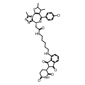 Cc1nnc2n1C1=C(C(c3ccc(Cl)cc3)=N[C@H]2CC(=O)NCCCCCNc2cccc3c2C(=O)C(C2CCC(=O)NC2=O)C3=O)C(C)C(C)S1